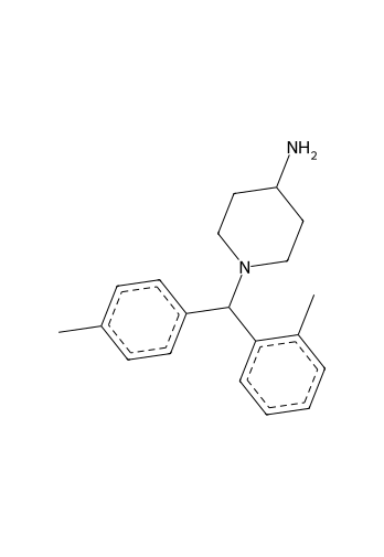 Cc1ccc(C(c2ccccc2C)N2CCC(N)CC2)cc1